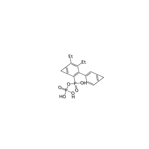 CCc1c2c(c(P(=O)(O)OP(=O)(O)O)c(-c3ccc4c(c3)C4)c1CC)C2